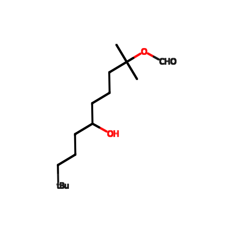 CC(C)(C)CCCC(O)CCCC(C)(C)OC=O